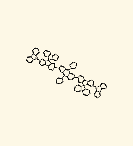 c1ccc(-c2c3ccc(-c4ccc5c(c4)C(c4ccccc4)(c4ccccc4)c4cc(-n6c7ccccc7c7ccccc76)ccc4-5)cc3c(-c3ccccc3)c3ccc(-c4ccc5c(c4)C(c4ccccc4)(c4ccccc4)c4cc(-n6c7ccccc7c7ccccc76)ccc4-5)cc23)cc1